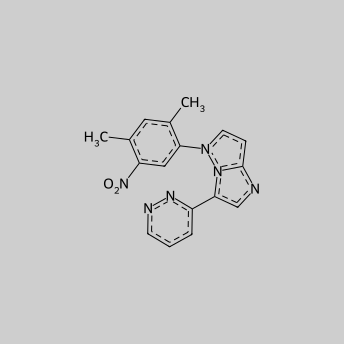 Cc1cc(C)c([N+](=O)[O-])cc1-n1ccc2ncc(-c3cccnn3)n21